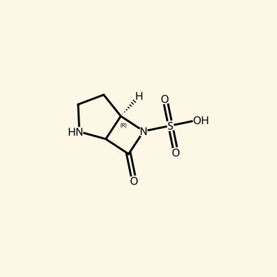 O=C1C2NCC[C@H]2N1S(=O)(=O)O